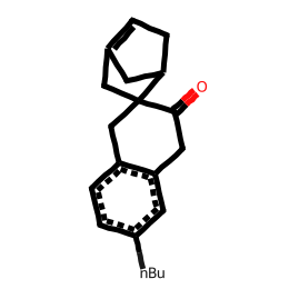 CCCCc1ccc2c(c1)CC(=O)C1(CC3=CCC1C3)C2